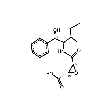 CCC(C)C(NC(=O)[C@H]1O[C@@H]1C(=O)O)[C@@H](O)c1ccccc1